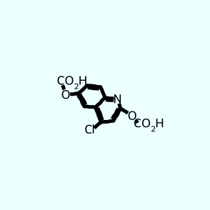 O=C(O)Oc1ccc2nc(OC(=O)O)cc(Cl)c2c1